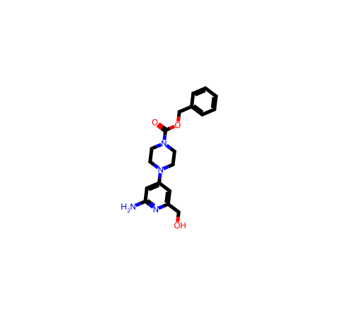 Nc1cc(N2CCN(C(=O)OCc3ccccc3)CC2)cc(CO)n1